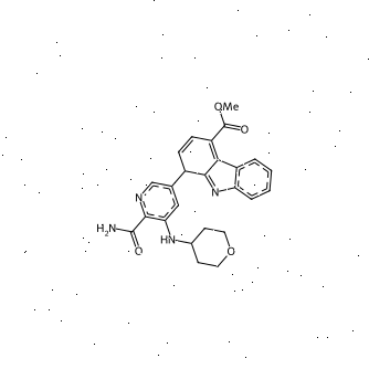 COC(=O)C1=C2C(=Nc3ccccc32)C(c2cnc(C(N)=O)c(NC3CCOCC3)c2)C=C1